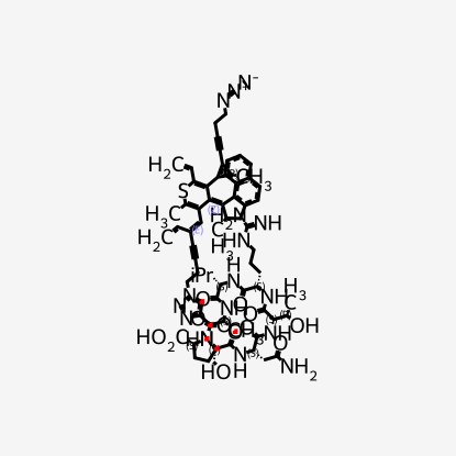 C=CC1=C(C2=C(C#CCCN=[N+]=[N-])[C@H]2C)/C(=C2\c3c(ccc4ccccc34)CC2C)C(/C=C(/C#CCCn2cc(C(=O)N[C@@H](CO)C(=O)N[C@@H](CC(N)=O)C(=O)N[C@H](C(=O)N[C@@H](CCCNC(=N)N)C(=O)N[C@H](C(=O)N[C@@H](C)C(=O)N3CCC[C@H]3C(=O)O)C(C)C)[C@@H](C)O)nn2)C=C)=C(C)S1